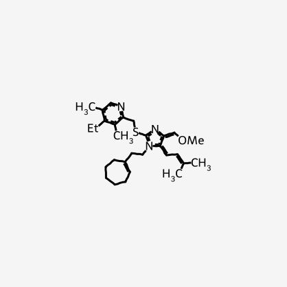 CCc1c(C)cnc(CSc2nc(=C/OC)/c(=C\C=C(C)C)n2CCC2=CCCCCC2)c1C